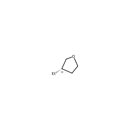 CC[C@H]1CCOC1